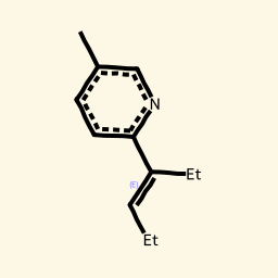 CC/C=C(\CC)c1ccc(C)cn1